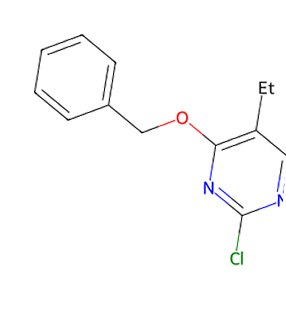 CCc1cnc(Cl)nc1OCc1ccccc1